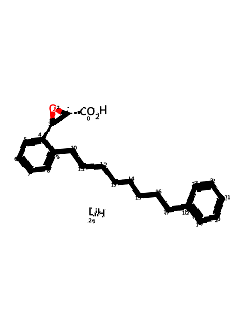 O=C(O)[C@H]1O[C@@H]1c1ccccc1CCCCCCCCc1ccccc1.[LiH]